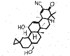 CC1(C)C(=O)C(C#N)=C[C@]2(C)C3=C[C@@H](O)[C@@H]4[C@@H]5CC6(CC6)CC[C@]5(CO)CC[C@@]4(C)[C@]3(C)CC[C@@H]12